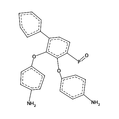 Nc1ccc(Oc2c(P=O)ccc(-c3ccccc3)c2Oc2ccc(N)cc2)cc1